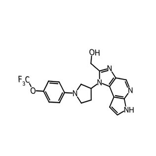 OCc1nc2cnc3[nH]ccc3c2n1C1CCN(c2ccc(OC(F)(F)F)cc2)C1